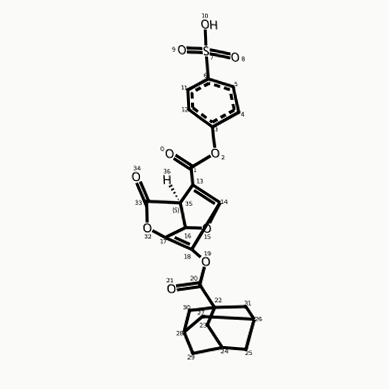 O=C(Oc1ccc(S(=O)(=O)O)cc1)C1=C2OC3C(=C2OC(=O)C24CC5CC(CC(C5)C2)C4)OC(=O)[C@@H]13